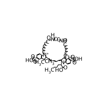 CCCCC(C(=O)O)N1\C2=C/C=C/C=C/C3=[N+](CCCCCC(=O)NCCNC(=O)CCCCCC2(C)c2cc(S(=O)(=O)O)ccc21)c1ccc(S(=O)(=O)O)cc1C3(C)C